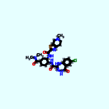 CN1CCc2nc(C(=O)NC3CC(C(=O)N(C)C)CCC3NC(=O)C3=NNC(=O)c4cc(Cl)ccc4N3)sc2C1